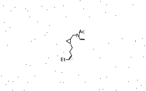 C=CN(CC1CC1CC/C=C\CC)C(C)=O